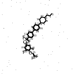 CCCC1CCC(c2ccc(-c3ccc(C(F)(F)Oc4cc(F)c(OC=C(F)F)c(F)c4)cc3)cc2)CC1